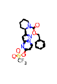 O=C(OCc1ccccc1)N1CCCCC1c1cc2nc(OS(=O)(=O)C(F)(F)F)ccn2n1